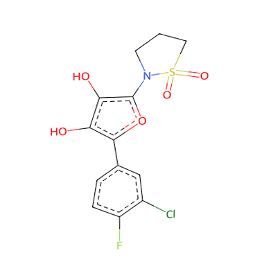 O=S1(=O)CCCN1c1oc(-c2ccc(F)c(Cl)c2)c(O)c1O